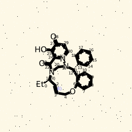 CC[C@@H]1/C=C/COc2ccccc2[C@@H](c2ccccc2)N2CN1C(=O)c1c(O)c(=O)ccn12